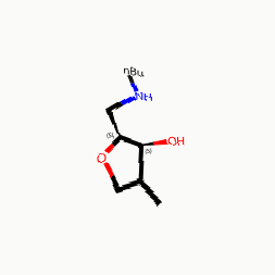 CCCCNC[C@@H]1OCC(C)[C@@H]1O